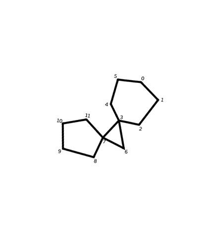 C1CCC2(CC1)CC21CCCC1